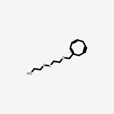 OCCSSCCOC/C1=C/C=C\CC#CC1